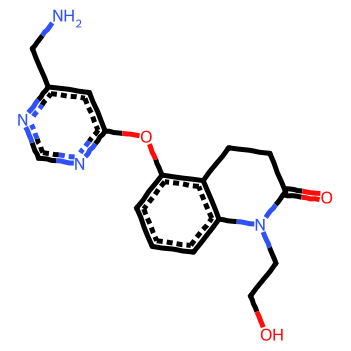 NCc1cc(Oc2cccc3c2CCC(=O)N3CCO)ncn1